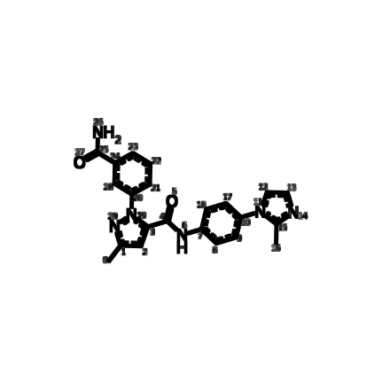 Cc1cc(C(=O)Nc2ccc(-n3ccnc3C)cc2)n(-c2cccc(C(N)=O)c2)n1